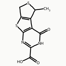 CC1SCc2sc3nc(C(=O)O)[nH]c(=O)c3c21